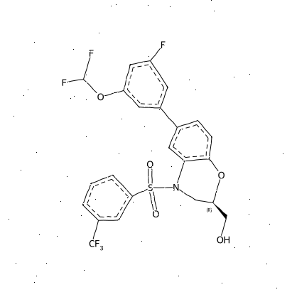 O=S(=O)(c1cccc(C(F)(F)F)c1)N1C[C@H](CO)Oc2ccc(-c3cc(F)cc(OC(F)F)c3)cc21